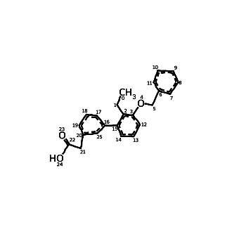 CCc1c(OCc2ccccc2)cccc1-c1cccc(CC(=O)O)c1